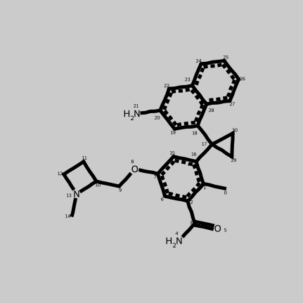 Cc1c(C(N)=O)cc(OCC2CCN2C)cc1C1(c2cc(N)cc3ccccc23)CC1